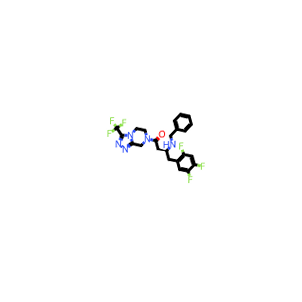 O=C(C[C@H](Cc1cc(F)c(F)cc1F)NCc1ccccc1)N1CCn2c(nnc2C(F)(F)F)C1